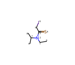 CCN(C(=S)CI)C(C)C